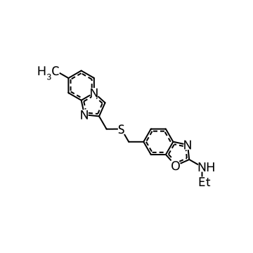 CCNc1nc2ccc(CSCc3cn4ccc(C)cc4n3)cc2o1